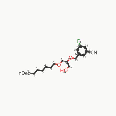 CCCCCCCCCCCCCCCCOC[C@H](CO)OCc1cc(F)cc(C#N)c1